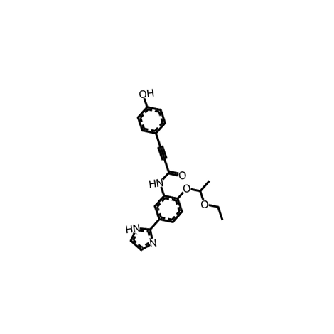 CCOC(C)Oc1ccc(-c2ncc[nH]2)cc1NC(=O)C#Cc1ccc(O)cc1